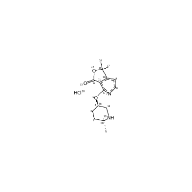 C[C@@H]1CC[C@@H](Oc2nccc3c2C(=O)OC3(C)C)CN1.Cl